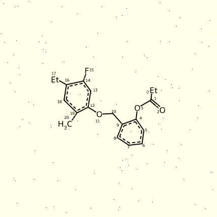 CCC(=O)Oc1ccccc1COc1cc(F)c(CC)cc1C